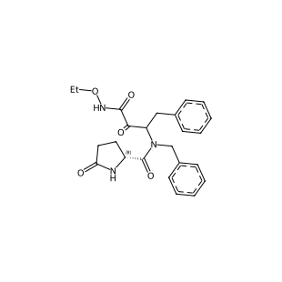 CCONC(=O)C(=O)C(Cc1ccccc1)N(Cc1ccccc1)C(=O)[C@H]1CCC(=O)N1